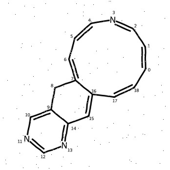 C1=CC=NC=CC=C2Cc3cncnc3C=C2C=C1